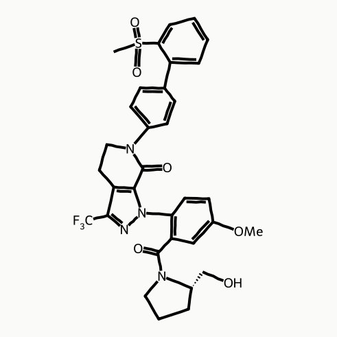 COc1ccc(-n2nc(C(F)(F)F)c3c2C(=O)N(c2ccc(-c4ccccc4S(C)(=O)=O)cc2)CC3)c(C(=O)N2CCC[C@H]2CO)c1